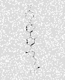 CNC1CCN(c2ccc(-c3ccc(N4CC(CCC(N)=O)OC4=O)cc3F)cn2)CC1